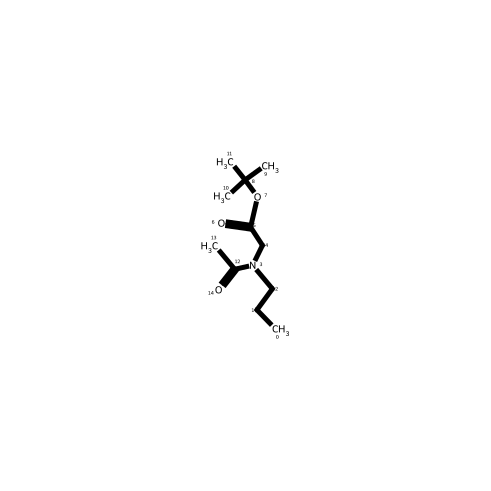 CCCN(CC(=O)OC(C)(C)C)C(C)=O